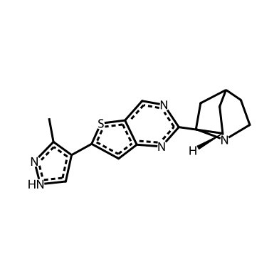 Cc1n[nH]cc1-c1cc2nc([C@@H]3CC4CCN3CC4)ncc2s1